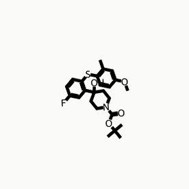 COc1ccc(Sc2ccc(F)cc2C2(O)CCN(C(=O)OC(C)(C)C)CC2)c(C)c1